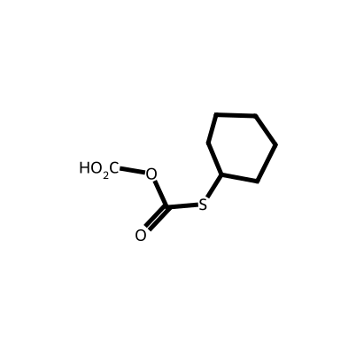 O=C(O)OC(=O)SC1CCCCC1